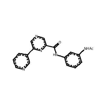 CC(=O)Nc1cccc(NC(=O)c2cncc(-c3cccnc3)n2)c1